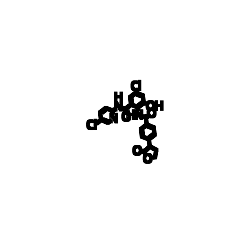 O=C(Nc1c(O)cc(Cl)cc1C(=O)Nc1ccc(Cl)cn1)c1ccc(C2CCOC2=O)cc1